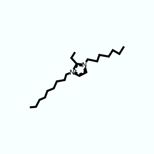 CCCCCCCCC[n+]1ccn(CCCCCCC)c1CC